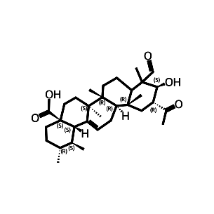 CC(=O)[C@@H]1C[C@@]2(C)C(CC[C@]3(C)[C@@H]2CC=C2[C@@H]4[C@@H](C)[C@H](C)CC[C@]4(C(=O)O)CC[C@]23C)C(C)(C=O)[C@H]1O